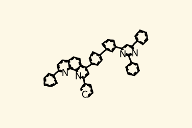 c1ccc(-c2cc(-c3cccc(-c4ccc(-c5cc(-c6ccccc6)nc6c5ccc5ccc(-c7ccccc7)nc56)cc4)c3)nc(-c3ccccc3)n2)cc1